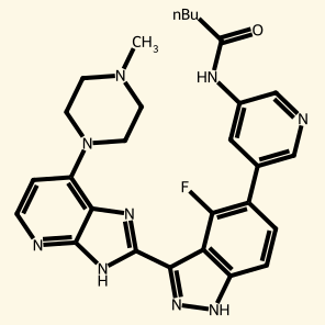 CCCCC(=O)Nc1cncc(-c2ccc3[nH]nc(-c4nc5c(N6CCN(C)CC6)ccnc5[nH]4)c3c2F)c1